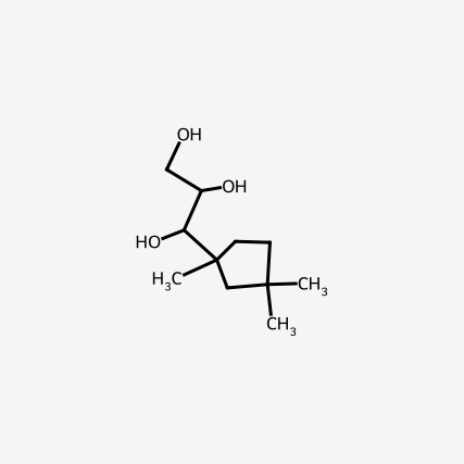 CC1(C)CCC(C)(C(O)C(O)CO)C1